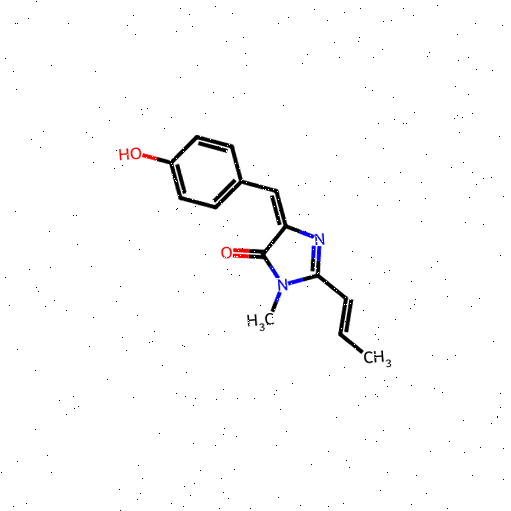 CC=CC1=NC(=Cc2ccc(O)cc2)C(=O)N1C